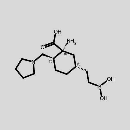 N[C@]1(C(=O)O)C[C@H](CCB(O)O)CC[C@H]1CN1CCCC1